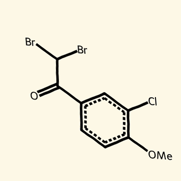 COc1ccc(C(=O)C(Br)Br)cc1Cl